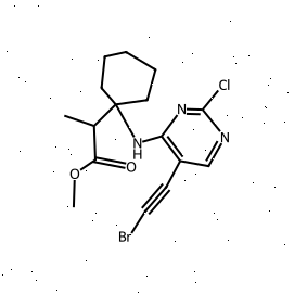 COC(=O)C(C)C1(Nc2nc(Cl)ncc2C#CBr)CCCCC1